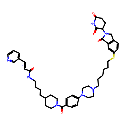 O=C(/C=C/c1cccnc1)NCCCCC1CCN(C(=O)c2ccc(N3CCN(CCCCCCSc4ccc5c(c4)C(=O)N(C4CCC(=O)NC4=O)C5)CC3)cc2)CC1